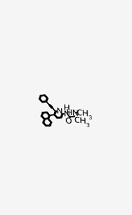 CNC(C)C(=O)Nc1ccc(-c2cccc3ccccc23)c(C#Cc2ccccc2)n1